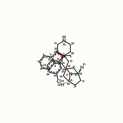 Cc1nc2ccccc2n1C1C[C@@H]2CC[C@@H](C1)N2CCC1(c2cccc(Cl)c2)CCNCC1